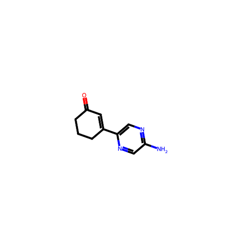 Nc1cnc(C2=CC(=O)CCC2)cn1